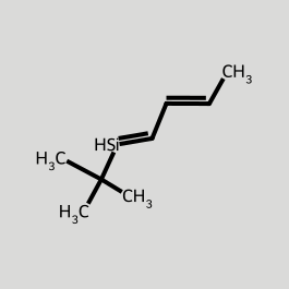 CC=CC=[SiH]C(C)(C)C